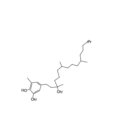 Cc1cc(CCC(C)(O)CCCC(C)CCCC(C)CCCC(C)C)cc(O)c1O